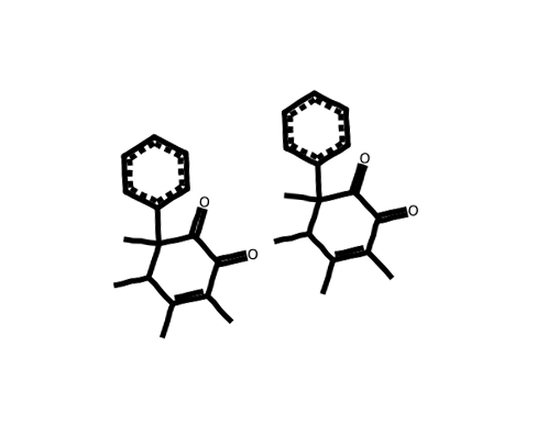 CC1=C(C)C(C)C(C)(c2ccccc2)C(=O)C1=O.CC1=C(C)C(C)C(C)(c2ccccc2)C(=O)C1=O